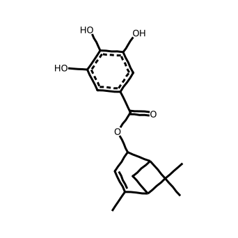 CC1=CC(OC(=O)c2cc(O)c(O)c(O)c2)C2CC1C2(C)C